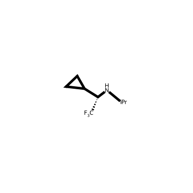 CC(C)N[C@@H](C1CC1)C(F)(F)F